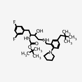 CC(C)(C)Cc1ccc(N2CCCCC2)c(CNCC(O)C(Cc2cc(F)cc(F)c2)NC(=O)OC(C)(C)C)c1